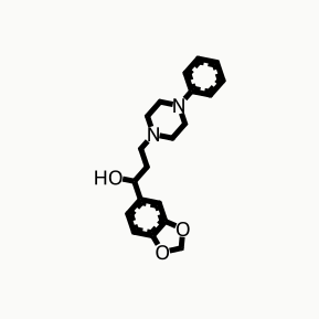 OC(CCN1CCN(c2ccccc2)CC1)c1ccc2c(c1)OCO2